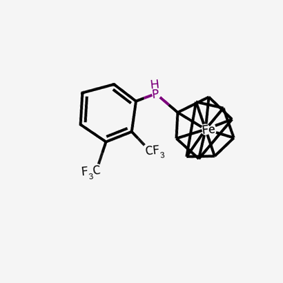 FC(F)(F)c1cccc(P[C]23[CH]4[CH]5[CH]6[CH]2[Fe]56432789[CH]3[CH]2[CH]7[CH]8[CH]39)c1C(F)(F)F